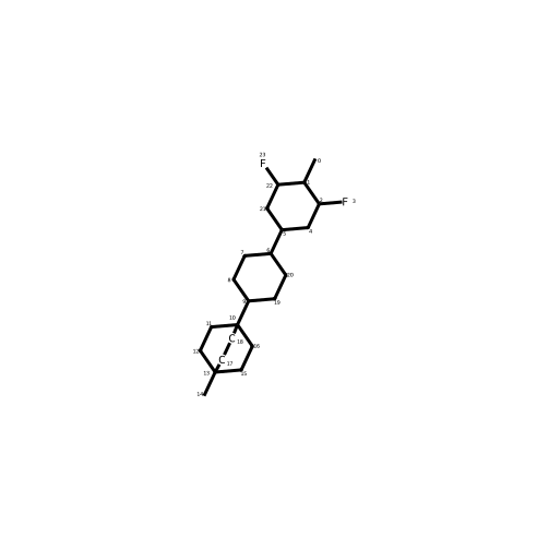 CC1C(F)CC(C2CCC(C34CCC(C)(CC3)CC4)CC2)CC1F